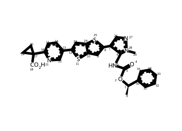 C[C@@H](OC(=O)Nc1c(-c2cc3sc(-c4ccc(C5(C(=O)O)CC5)nc4)cc3s2)cnn1C)c1ccccc1